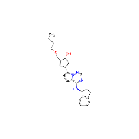 CCCCOCC1=C[C@@H](c2ccc3c(N[C@H]4CCc5ccccc54)ncnn23)C[C@H]1O